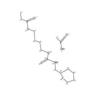 CC(=O)O.CCC(=O)OCCCCOC(=O)NCC1CCCCC1